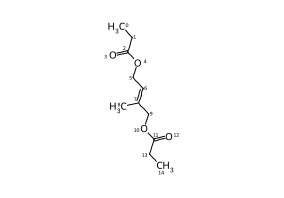 CCC(=O)OC/C=C(\C)COC(=O)CC